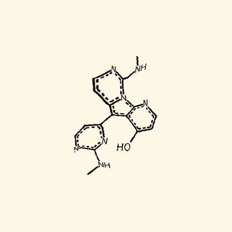 CNc1nccc(-c2c3c(O)ccnc3n3c(NC)nccc23)n1